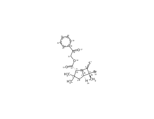 CC1(C)S[C@H]2N(C(=S)[C@]2(C)Br)[C@H]1C(=O)OCC(=O)c1ccccc1